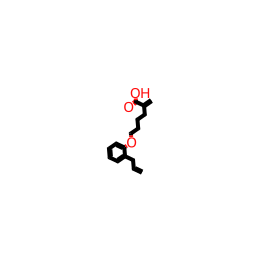 C=CCc1ccccc1OCCCCC(=C)C(=O)O